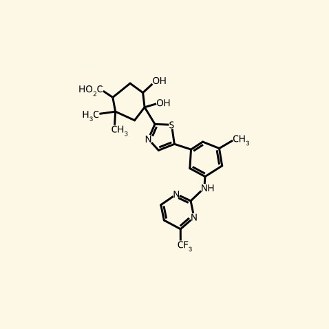 Cc1cc(Nc2nccc(C(F)(F)F)n2)cc(-c2cnc(C3(O)CC(C)(C)C(C(=O)O)CC3O)s2)c1